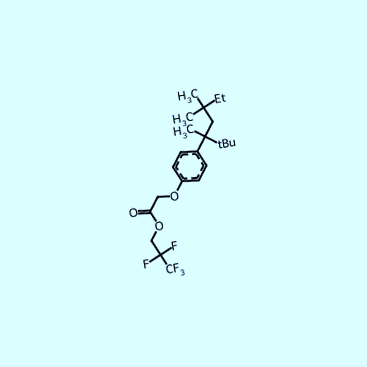 CCC(C)(C)CC(C)(c1ccc(OCC(=O)OCC(F)(F)C(F)(F)F)cc1)C(C)(C)C